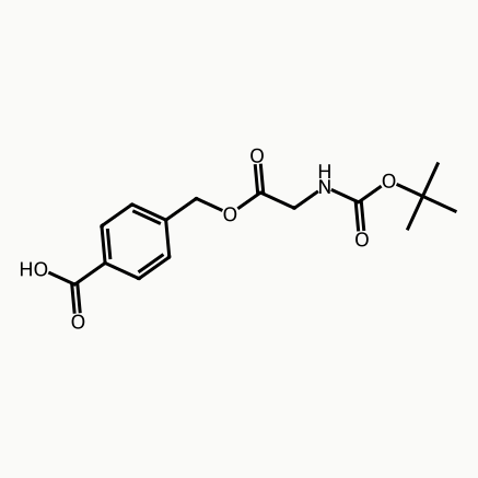 CC(C)(C)OC(=O)NCC(=O)OCc1ccc(C(=O)O)cc1